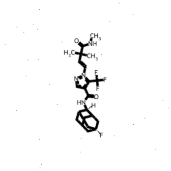 CNC(=O)C(C)(C)/C=C/n1ncc(C(=O)N[C@H]2C3CC4CC2C[C@](F)(C4)C3)c1C(F)(F)F